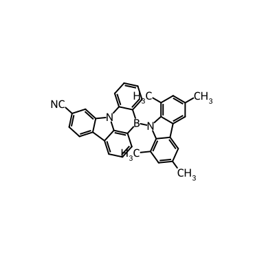 Cc1cc(C)c2c(c1)c1cc(C)cc(C)c1n2B1c2ccccc2-n2c3cc(C#N)ccc3c3cccc1c32